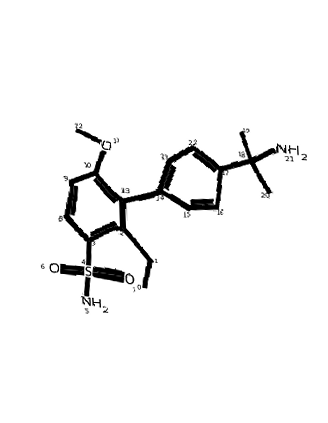 CCc1c(S(N)(=O)=O)ccc(OC)c1-c1ccc(C(C)(C)N)cc1